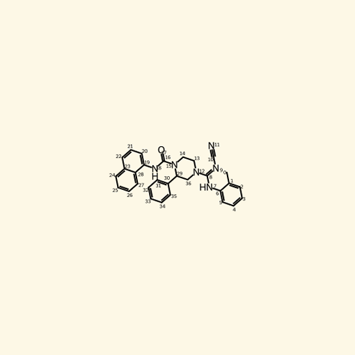 Cc1ccccc1N/C(=N/C#N)N1CCN(C(=O)Nc2cccc3ccccc23)C(c2ccccc2)C1